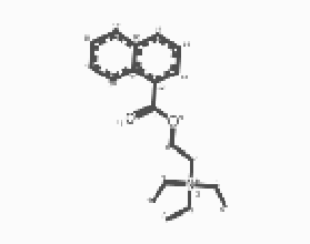 CC[N+](CC)(CC)CCOC(=O)c1cccc2ccccc12